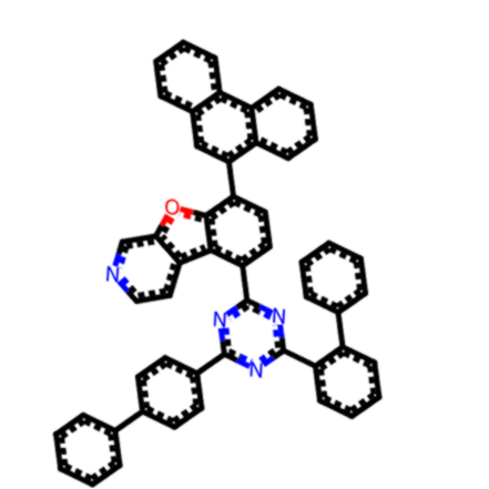 c1ccc(-c2ccc(-c3nc(-c4ccccc4-c4ccccc4)nc(-c4ccc(-c5cc6ccccc6c6ccccc56)c5oc6cnccc6c45)n3)cc2)cc1